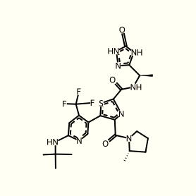 C[C@@H](NC(=O)c1nc(C(=O)N2CCC[C@@H]2C)c(-c2cnc(NC(C)(C)C)cc2C(F)(F)F)s1)c1n[nH]c(=O)[nH]1